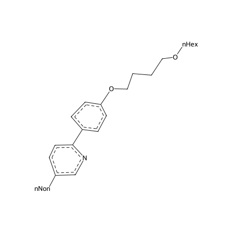 CCCCCCCCCc1ccc(-c2ccc(OCCCCOCCCCCC)cc2)nc1